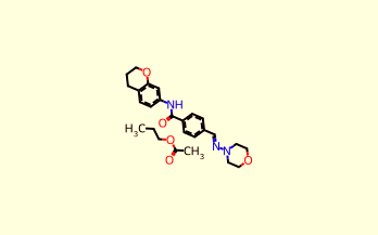 CCCOC(C)=O.O=C(Nc1ccc2c(c1)OCCC2)c1ccc(C=NN2CCOCC2)cc1